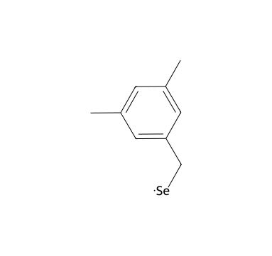 Cc1cc(C)cc(C[Se])c1